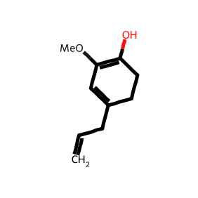 C=CCC1=CC(OC)=C(O)CC1